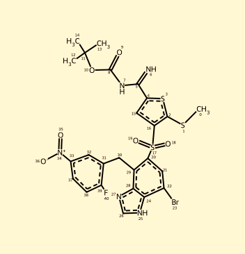 CSc1sc(C(=N)NC(=O)OC(C)(C)C)cc1S(=O)(=O)c1cc(Br)c2[nH]cnc2c1Cc1cc([N+](=O)[O-])ccc1F